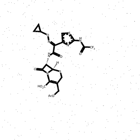 CC(=O)OCC1=C(C(=O)O)N2C(=O)[C@H](NC(=O)C(=NOC3CC3)c3csc(NC(=O)C(F)(F)F)n3)[C@H]2SC1